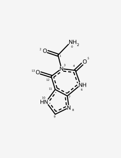 NC(=O)n1c(=O)[nH]c2nc[nH]c2c1=O